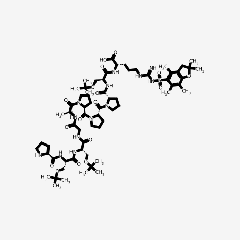 Cc1c(C)c(S(=O)(=O)NC(=N)NCCC[C@H](NC(=O)[C@H](COC(C)(C)C)NC(=O)[C@@H]2CCCN2C(=O)[C@@H]2CCCN2C(=O)[C@@H]2CCCN2C(=O)[C@H](C)NC(=O)CNC(=O)[C@H](COC(C)(C)C)NC(=O)[C@H](COC(C)(C)C)NC(=O)[C@@H]2CCCN2)C(=O)O)c(C)c2c1OC(C)(C)C2